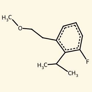 COCCc1cccc(F)c1C(C)C